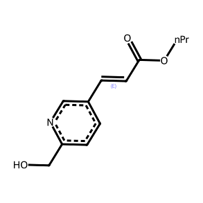 CCCOC(=O)/C=C/c1ccc(CO)nc1